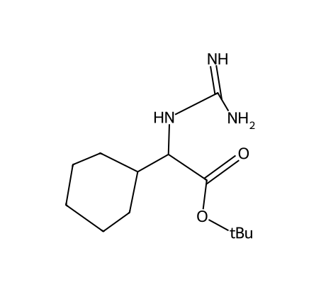 CC(C)(C)OC(=O)C(NC(=N)N)C1CCCCC1